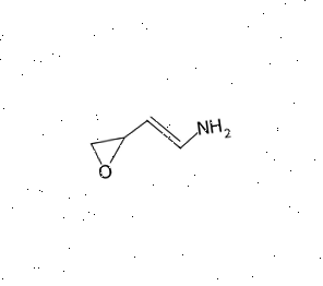 NC=CC1CO1